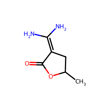 CC1CC(=C(N)N)C(=O)O1